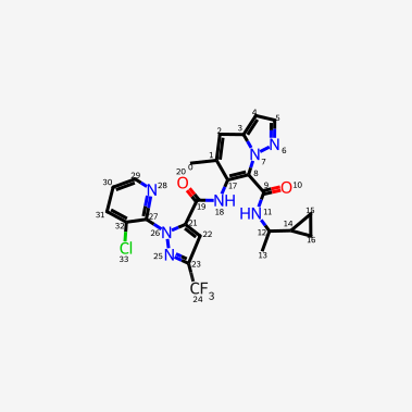 Cc1cc2ccnn2c(C(=O)NC(C)C2CC2)c1NC(=O)c1cc(C(F)(F)F)nn1-c1ncccc1Cl